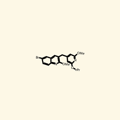 CCCOc1cc(Cc2cc3cc(Br)ccc3nc2OC)cc(OC)n1